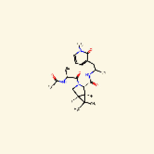 Cn1cccc(CC(C#N)NC(=O)[C@@H]2[C@@H]3[C@H](CN2C(=O)[C@@H](NC(=O)C(F)(F)F)C(C)(C)C)C3(C)C)c1=O